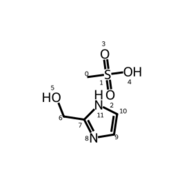 CS(=O)(=O)O.OCc1ncc[nH]1